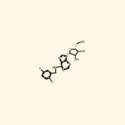 OC[C@H]1O[C@@H](n2cnc3c(NCc4cc(F)ccc4F)ncnc32)[C@H](O)[C@@H]1O